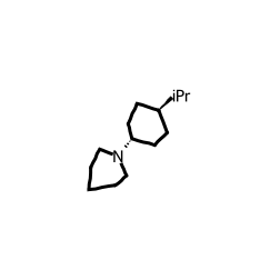 CC(C)[C@H]1CC[C@H](N2CCCCC2)CC1